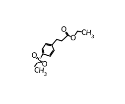 CCOC(=O)CCc1ccc(S(=O)(=O)CC)cc1